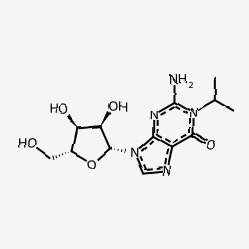 CC(C)n1c(N)nc2c(ncn2[C@@H]2O[C@H](CO)[C@@H](O)[C@H]2O)c1=O